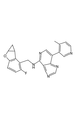 Cc1ccncc1-c1cnc(NCc2c(F)ccc3c2C2CC2O3)c2cncnc12